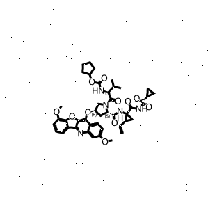 C=CC1CC1(NC(=O)[C@@H]1C[C@@H](Oc2c3ccc(OC)cc3nc3c2oc2c(OC)cccc23)CN1C(=O)[C@@H](NC(=O)OC1CCCC1)C(C)C)C(=O)NS(=O)(=O)C1CC1